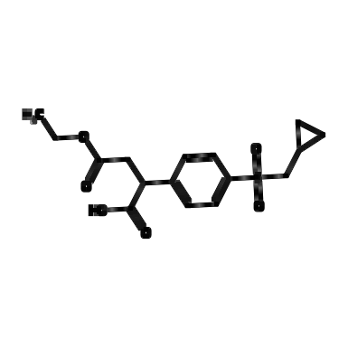 CCOC(=O)CC(C(=O)O)c1ccc(S(=O)(=O)CC2CC2)cc1